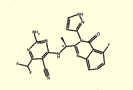 C[C@H](Nc1nc(N)nc(C(F)F)c1C#N)c1nc2cccc(F)c2c(=O)n1-c1cc[nH]n1